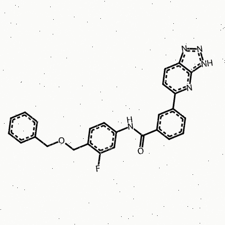 O=C(Nc1ccc(COCc2ccccc2)c(F)c1)c1cccc(-c2ccc3nn[nH]c3n2)c1